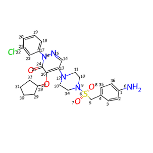 Nc1ccc(CS(=O)(=O)N2CCN(c3cnn(-c4cccc(Cl)c4)c(=O)c3OC3CCCC3)CC2)cc1